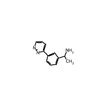 CC(N)c1cccc(-c2cccnn2)c1